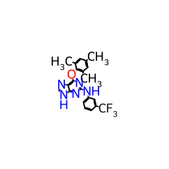 Cc1cc(C)c(Oc2nc(Nc3cccc(C(F)(F)F)c3)nc3[nH]cnc23)c(C)c1